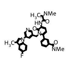 CNC(=O)c1cccc(-c2ccc(NC(=O)[C@H](C)NC)c(=O)n2Cc2cncc(-n3cc(C)c4cc(F)ccc43)c2)c1